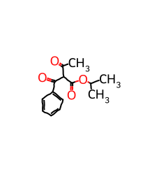 CC(=O)C(C(=O)OC(C)C)C(=O)c1ccccc1